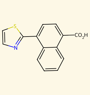 O=C(O)c1ccc(-c2nccs2)c2ccccc12